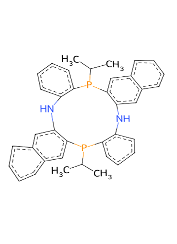 CC(C)P1c2ccccc2Nc2cc3ccccc3cc2P(C(C)C)c2ccccc2Nc2cc3ccccc3cc21